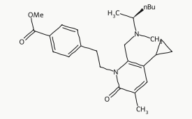 CCCC[C@H](C)N(C)Cc1c(C2CC2)cc(C)c(=O)n1CCc1ccc(C(=O)OC)cc1